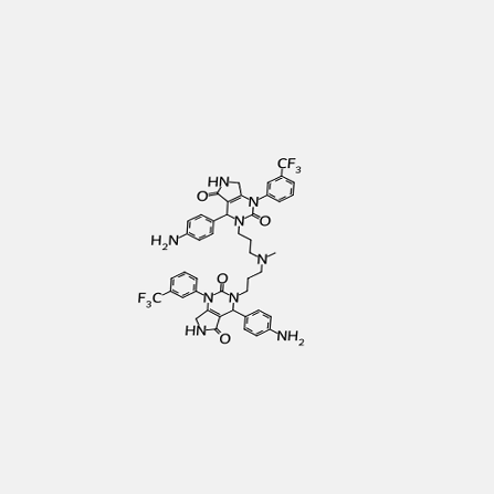 CN(CCCN1C(=O)N(c2cccc(C(F)(F)F)c2)C2=C(C(=O)NC2)C1c1ccc(N)cc1)CCCN1C(=O)N(c2cccc(C(F)(F)F)c2)C2=C(C(=O)NC2)C1c1ccc(N)cc1